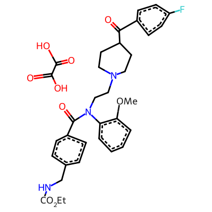 CCOC(=O)NCc1ccc(C(=O)N(CCN2CCC(C(=O)c3ccc(F)cc3)CC2)c2ccccc2OC)cc1.O=C(O)C(=O)O